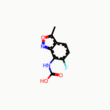 Cc1onc2c(NC(=O)O)c(F)ccc12